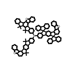 CC1(C)c2cc(N(c3ccc4c(c3)C(C)(C)c3c5c(c6oc7ccccc7c6c3-4)-c3ccccc3C5(C)C)c3ccc4c(c3)C3(c5ccccc5-c5ccccc53)c3cc5c(cc3-4)C3(c4ccccc4-c4ccccc43)c3ccc4oc6ccccc6c4c3-5)ccc2-c2cc3c(cc21)-c1c(ccc2oc4ccccc4c12)C3(C)C